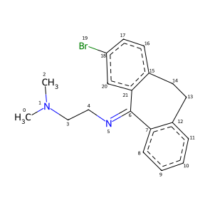 CN(C)CC/N=C1/c2ccccc2CCc2ccc(Br)cc21